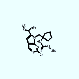 CCCC(OCC)c1cc2cnc(Cl)nc2n1CC1(NC(=O)OC(C)(C)C)CCCC1